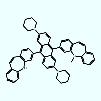 CN1c2ccccc2C=Cc2ccc(-c3c4ccc(N5CCCCC5)cc4c(-c4ccc5c(c4)Nc4ccccc4C=C5)c4ccc(N5CCCCC5)cc34)cc21